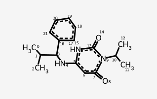 CC(C)C(Nc1cc(=O)n(C(C)C)c(=O)[nH]1)c1ccccc1